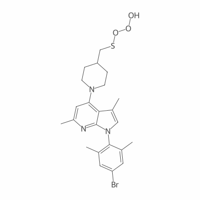 Cc1cc(N2CCC(CSOOO)CC2)c2c(C)cn(-c3c(C)cc(Br)cc3C)c2n1